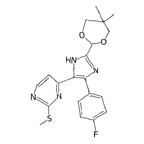 CSc1nccc(-c2[nH]c(C3OCC(C)(C)CO3)nc2-c2ccc(F)cc2)n1